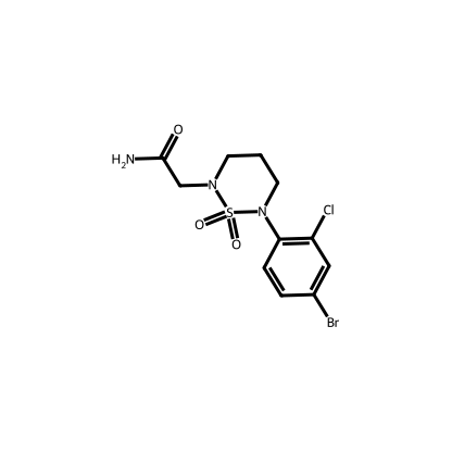 NC(=O)CN1CCCN(c2ccc(Br)cc2Cl)S1(=O)=O